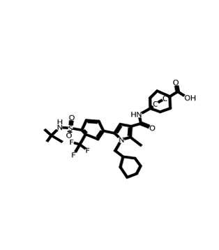 Cc1c(C(=O)NC23CCC(C(=O)O)(CC2)CC3)cc(-c2ccc(S(=O)(=O)NC(C)(C)C)c(C(F)(F)F)c2)n1CC1CCCCC1